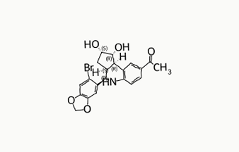 CC(=O)c1ccc2c(c1)[C@@H]1[C@@H](O)[C@@H](O)C[C@@H]1[C@H](c1cc3c(cc1Br)OCO3)N2